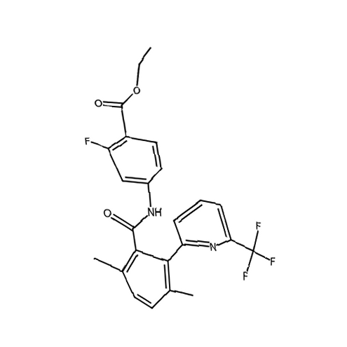 CCOC(=O)c1ccc(NC(=O)c2c(C)ccc(C)c2-c2cccc(C(F)(F)F)n2)cc1F